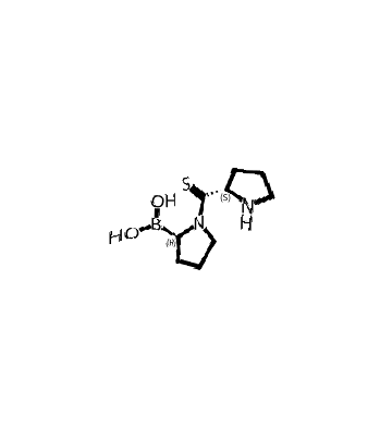 OB(O)[C@@H]1CCCN1C(=S)[C@@H]1CCCN1